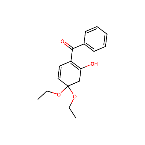 CCOC1(OCC)C=CC(C(=O)c2ccccc2)=C(O)C1